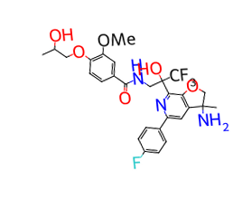 COc1cc(C(=O)NCC(O)(c2nc(-c3ccc(F)cc3)cc3c2OCC3(C)N)C(F)(F)F)ccc1OCC(C)O